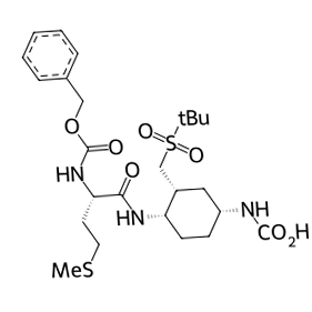 CSCC[C@H](NC(=O)OCc1ccccc1)C(=O)N[C@H]1CC[C@@H](NC(=O)O)C[C@H]1CS(=O)(=O)C(C)(C)C